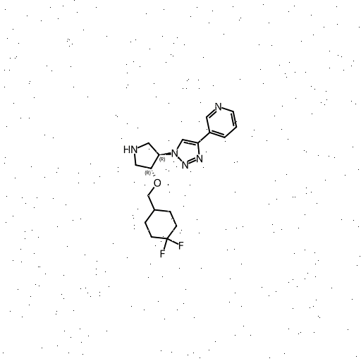 FC1(F)CCC(CO[C@@H]2CNC[C@H]2n2cc(-c3cccnc3)nn2)CC1